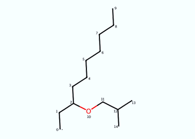 [CH2]CC(CCCCCCC)OCC(C)C